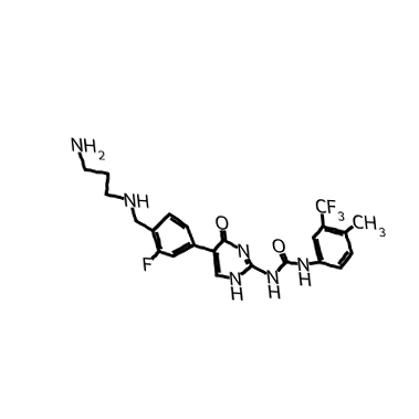 Cc1ccc(NC(=O)Nc2nc(=O)c(-c3ccc(CNCCCN)c(F)c3)c[nH]2)cc1C(F)(F)F